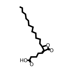 CCCCCCCCCCCCCC1OC(=O)C1=CCCCC(=O)O